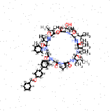 CC[C@H](C)[C@@H]1NC(=O)[C@@H]2CCCN2C(=O)[C@H](Cc2cccc(-c3ccc(OCc4ccccc4)cc3)c2)N(C)C(=O)[C@H](Cc2ccccc2)NC(=O)C(C(C)C)N(C)C(=O)[C@@H]([C@@H](C)CC)OC(=O)[C@H](C(C)(C)O)N(C)C(=O)[C@H](CC(C)C)NC(=O)C(C(C)C)N(C)C1=O